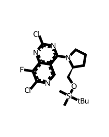 CC(C)(C)[Si](C)(C)OC[C@@H]1CCCN1c1nc(Cl)nc2c(F)c(Cl)ncc12